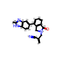 C=C(C#N)CN1Cc2c(cccc2-c2ccc3[nH]c(C)nc3c2)C1=O